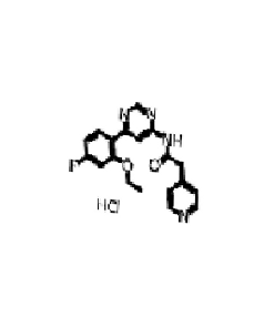 CCOc1cc(F)ccc1-c1cc(NC(=O)Cc2ccncc2)ncn1.Cl